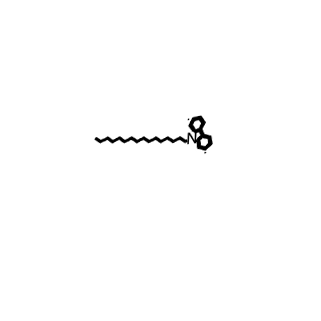 CCCCCCCCCCCCCCCCn1c2c[c]ccc2c2cc[c]cc21